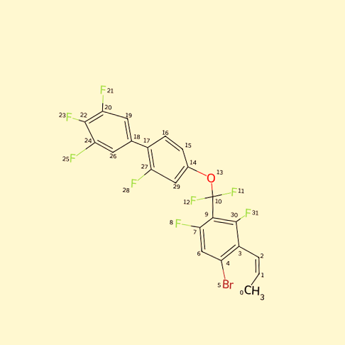 C/C=C\c1c(Br)cc(F)c(C(F)(F)Oc2ccc(-c3cc(F)c(F)c(F)c3)c(F)c2)c1F